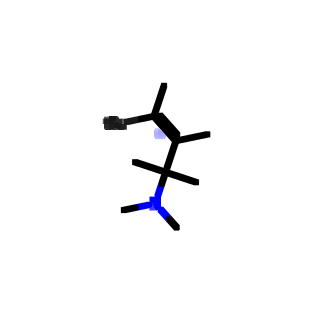 C/C(=C(\C)C(C)(C)N(C)C)C(C)(C)C